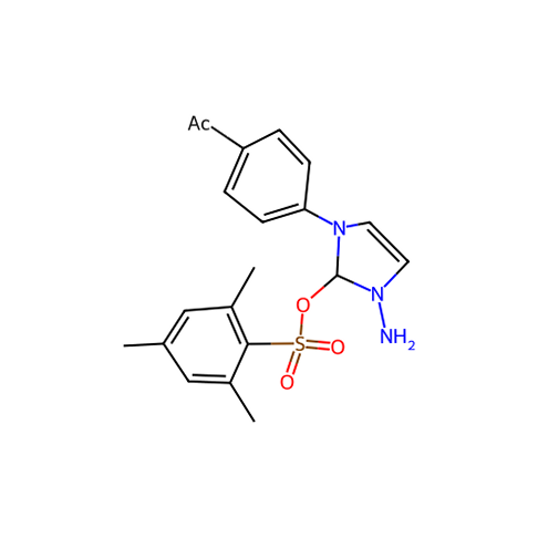 CC(=O)c1ccc(N2C=CN(N)C2OS(=O)(=O)c2c(C)cc(C)cc2C)cc1